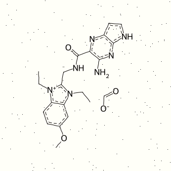 CCn1c(CNC(=O)c2nc3cc[nH]c3nc2N)[n+](CC)c2ccc(OC)cc21.O=C[O-]